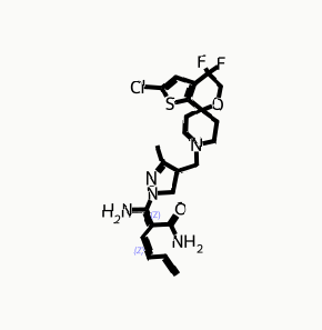 C=C/C=C\C(C(N)=O)=C(/N)N1CC(CN2CCC3(CC2)OCC(F)(F)c2cc(Cl)sc23)C(C)=N1